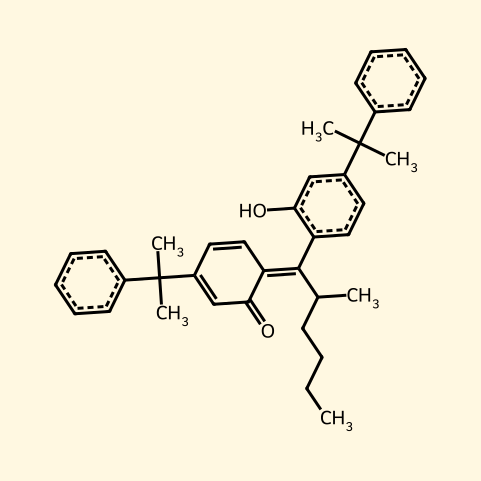 CCCCC(C)C(=C1C=CC(C(C)(C)c2ccccc2)=CC1=O)c1ccc(C(C)(C)c2ccccc2)cc1O